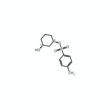 Cc1ccc(S(=O)(=O)O[C@@H]2CCC[C@H](O)C2)cc1